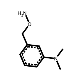 CN(C)c1cccc(CON)c1